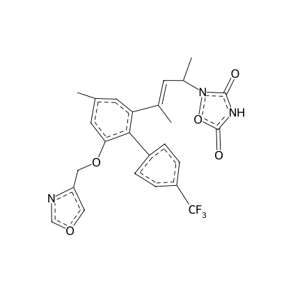 CC(=CC(C)n1oc(=O)[nH]c1=O)c1cc(C)cc(OCc2cocn2)c1-c1ccc(C(F)(F)F)cc1